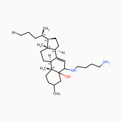 CC(=O)OC1CC[C@]2(C)[C@H]3CC[C@]4(C)[C@@H]([C@H](C)CCCC(C)C)CC[C@H]4C3=CC(NCCCCN)C2(O)C1